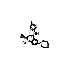 CC(=O)N1c2ccc(N3CCCCCC3)cc2[C@H](Nc2cnc(C)cn2)[C@@H](C)[C@@H]1C1CC1